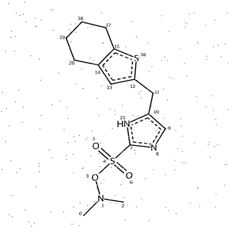 CN(C)OS(=O)(=O)c1ncc(Cc2cc3c(s2)CCCC3)[nH]1